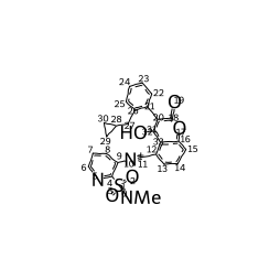 CNS(=O)(=O)c1ncccc1[N+]#Cc1cccc2oc(=O)c(-c3ccccc3CC3CC3)c(O)c12